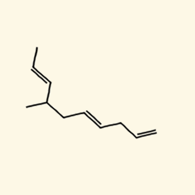 C=CCC=CCC(C)C=CC